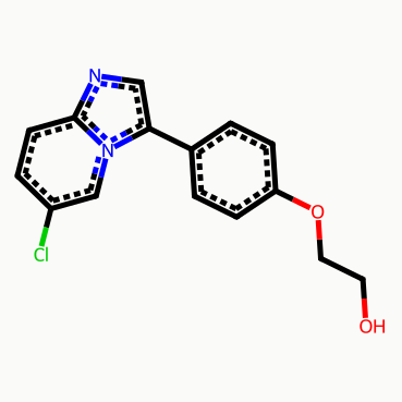 OCCOc1ccc(-c2cnc3ccc(Cl)cn23)cc1